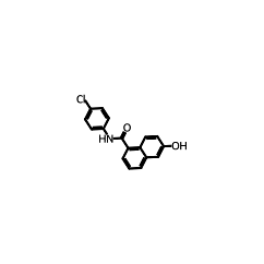 O=C(Nc1ccc(Cl)cc1)c1cccc2cc(O)ccc12